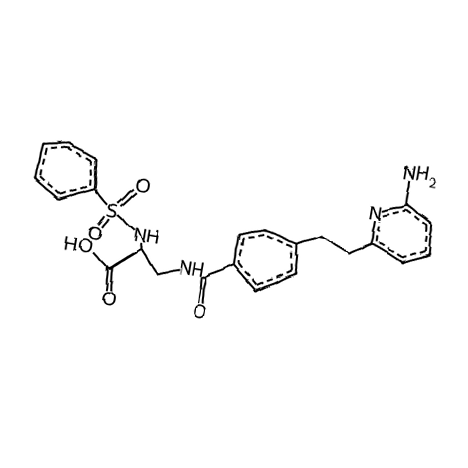 Nc1cccc(CCc2ccc(C(=O)NCC(NS(=O)(=O)c3ccccc3)C(=O)O)cc2)n1